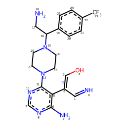 N=C/C(=C\O)c1c(N)ncnc1N1CCN(C(CN)c2ccc(C(F)(F)F)cc2)CC1